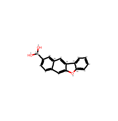 OB(O)c1ccc2cc3oc4ccccc4c3cc2c1